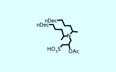 CCCCCCCCCCCCCC(C)N(CC(CS(=O)(=O)O)OC(C)=O)C(C)CCCCCCCCCCCCC